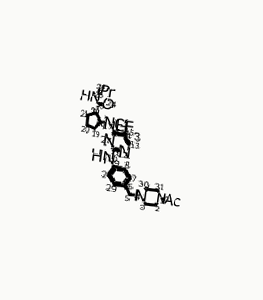 CC(=O)N1CCN(Cc2ccc(Nc3ncc(C(F)(F)F)c(N[C@@H]4CCC[C@@H]4C(=O)NC(C)C)n3)cc2)CC1